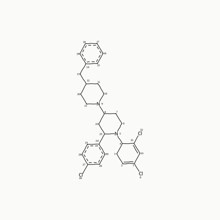 ClC1=CCC(N2CCC(N3CCC(Cc4ccccc4)CC3)CC2c2ccc(Cl)cc2)C(Cl)=C1